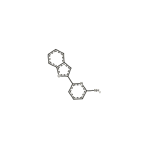 Nc1cccc(-c2cc3ccccc3o2)n1